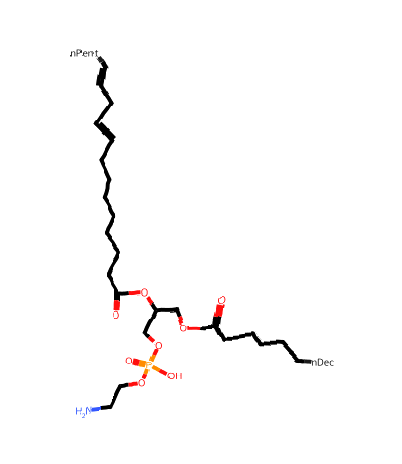 CCCCCC=CCC=CCCCCCCCC(=O)OC(COC(=O)CCCCCCCCCCCCCCC)COP(=O)(O)OCCN